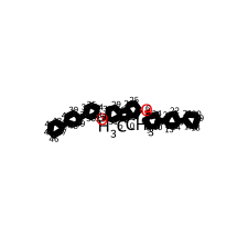 CC1(C)c2cc(Oc3cccc(-c4ccc(-c5ccccc5)cc4)c3)ccc2-c2ccc(Oc3cccc(-c4ccc(-c5ccccc5)cc4)c3)cc21